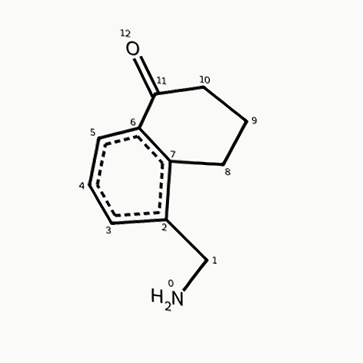 NCc1cccc2c1CCCC2=O